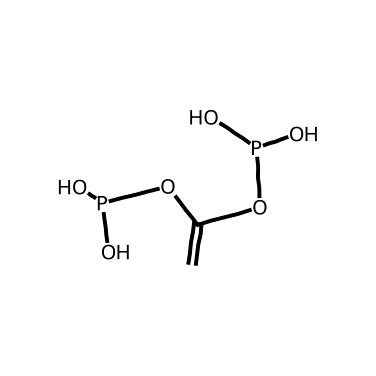 C=C(OP(O)O)OP(O)O